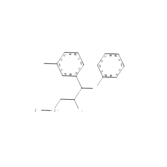 CC(C)NCC(O)C(Oc1ccccc1)c1cccc(Cl)c1